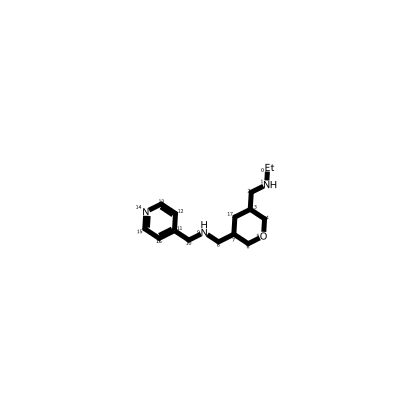 CCNCC1COCC(CNCc2ccncc2)C1